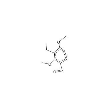 CCc1c(OC)ccc(C=O)c1OC